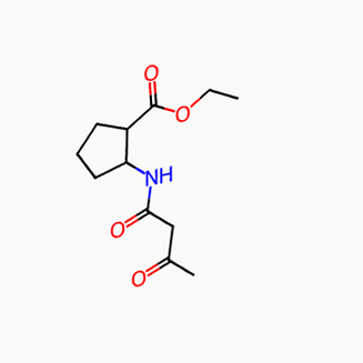 CCOC(=O)C1CCCC1NC(=O)CC(C)=O